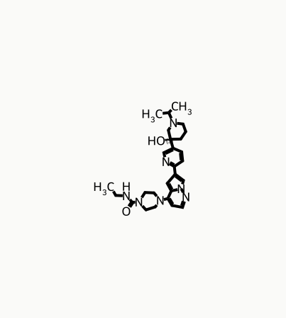 CCNC(=O)N1CCN(c2ccnn3cc(-c4ccc([C@@]5(O)CCCN(C(C)C)C5)cn4)cc23)CC1